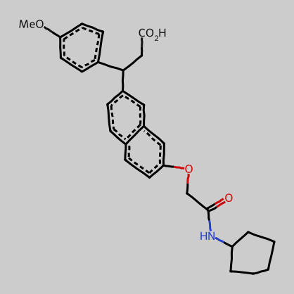 COc1ccc(C(CC(=O)O)c2ccc3ccc(OCC(=O)NC4CCCCC4)cc3c2)cc1